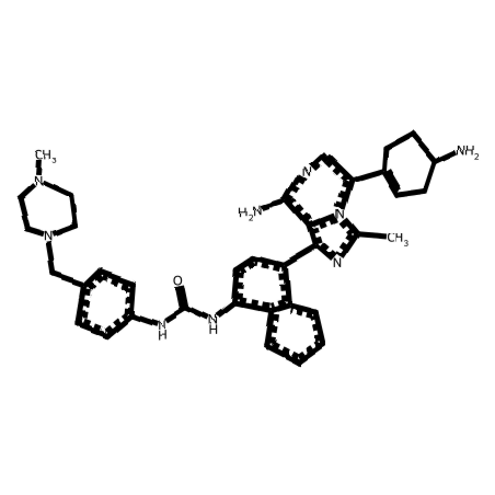 Cc1nc(-c2ccc(NC(=O)Nc3ccc(CN4CCN(C)CC4)cc3)c3ccccc23)c2c(N)ncc(C3=CCC(N)CC3)n12